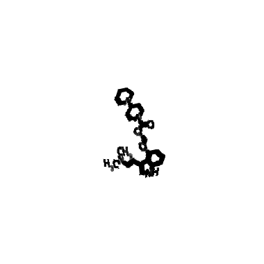 CN(C)CCc1c[nH]c2cccc(OCOC(=O)N3CCC(N4CCCCC4)CC3)c12